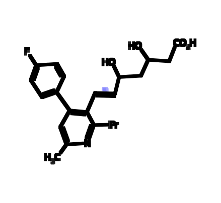 Cc1cc(-c2ccc(F)cc2)c(/C=C/C(O)CC(O)CC(=O)O)c(C(C)C)n1